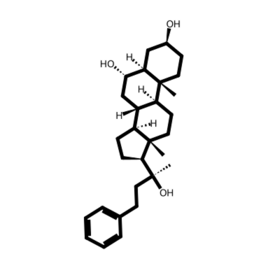 C[C@]12CC[C@H](O)C[C@@H]1[C@@H](O)C[C@@H]1[C@@H]2CC[C@@]2(C)[C@H]1CC[C@@H]2[C@@](C)(O)CCc1ccccc1